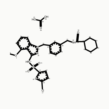 COc1cccc2c1c(NS(=O)(=O)c1ccc(Cl)s1)nn2Cc1cccc(CNC(=O)C2CCCCC2)c1.O=C(O)O